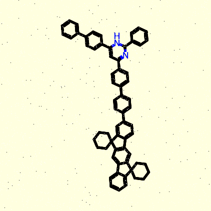 C1=C(c2ccc(-c3ccccc3)cc2)NC(c2ccccc2)N=C1c1ccc(-c2ccc(-c3ccc4c(c3)C3(CCCCC3)c3cc5c(cc3-4)C3(CCCCC3)c3ccccc3-5)cc2)cc1